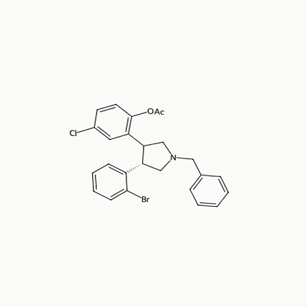 CC(=O)Oc1ccc(Cl)cc1C1CN(Cc2ccccc2)C[C@@H]1c1ccccc1Br